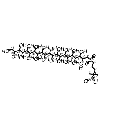 CC(C)(CCCS(=O)(=O)CC(O)C(O)C(O)C(O)C(O)C(O)C(O)C(O)C(O)C(O)C(O)C(O)C(O)C(O)C(O)C(O)C(O)C(O)C(O)CO)N(Cl)Cl